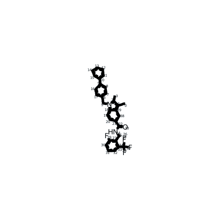 Cc1c(C)n(Cc2ccc(-c3ccccc3)cc2)c2ccc(C(=O)N[C@H](C)c3c(F)cccc3C(F)(F)F)cc12